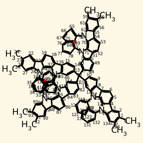 Cc1cc2c3ccc4c5ccc(C(c6ccc7c8ccc9c%10cc(C)c(C)cc%10n(-c%10ccccc%10)c9c8n(-c8ccccc8)c7c6)(c6ccc7c8ccc9c%10cc(C)c(C)cc%10n(-c%10ccccc%10)c9c8n(-c8ccccc8)c7c6)c6ccc7c8ccc9c%10cc(C)c(C)cc%10n(-c%10ccccc%10)c9c8n(-c8ccccc8)c7c6)cc5n(-c5ccccc5)c4c3n(-c3ccccc3)c2cc1C